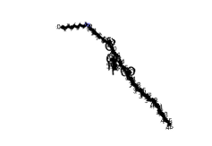 CCCCCCCC/C=C\CCCCCCCC(=O)OCCCN(CCCOC(=O)CCCCCCCCCCCCCCCCC)C(=O)C(F)(F)F